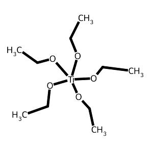 CC[O][Ti]([O]CC)([O]CC)([O]CC)[O]CC